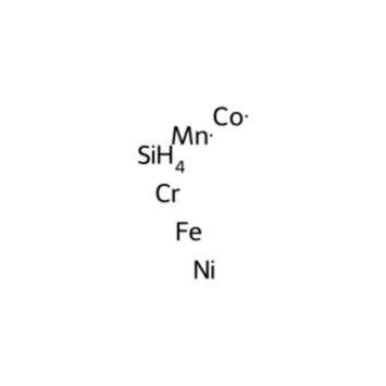 [Co].[Cr].[Fe].[Mn].[Ni].[SiH4]